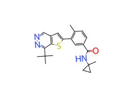 Cc1ccc(C(=O)NC2(C)CC2)cc1-c1cc2cnnc(C(C)(C)C)c2s1